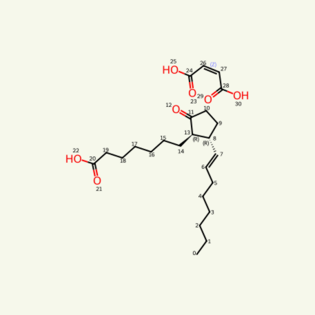 CCCCCCC=C[C@H]1CCC(=O)[C@@H]1CCCCCCC(=O)O.O=C(O)/C=C\C(=O)O